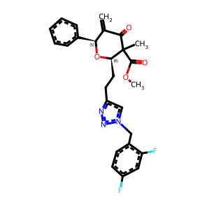 C=C1C(=O)C(C)(C(=O)OC)[C@@H](CCc2cn(Cc3ccc(F)cc3F)nn2)O[C@H]1c1ccccc1